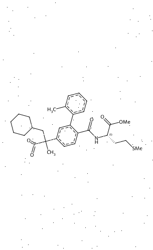 COC(=O)[C@H](CCSC)NC(=O)c1ccc(C(C)(CC2CCCCC2)P(=O)=O)cc1-c1ccccc1C